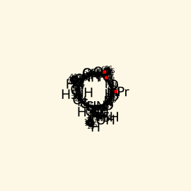 CC(C)C[C@@H]1NC(=O)[C@@H](NC(=O)[C@H](Cc2ccccc2)NC(=O)C(O)CS)CCCCNC(=O)[C@H](CS)NC(=O)[C@H](Cc2ccccc2)NC(=O)[C@H](C)NC(=O)[C@H](C)N(C)C(=O)[C@H](Cc2ccccc2)N(C)C(=O)[C@H](C)NC(=O)[C@H](CC(C)C)N(C)C(=O)[C@H](C)N(C)C1=O